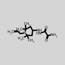 C=CCN1C(C)(C)CC(NNC(=O)C(N)=O)CC1(C)C